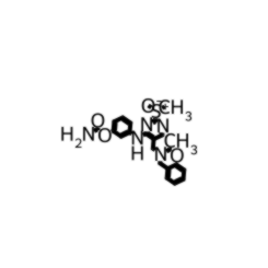 CC(=O)N(Cc1ccccc1)Cc1cnc([S+](C)[O-])nc1Nc1cccc(OC(N)=O)c1